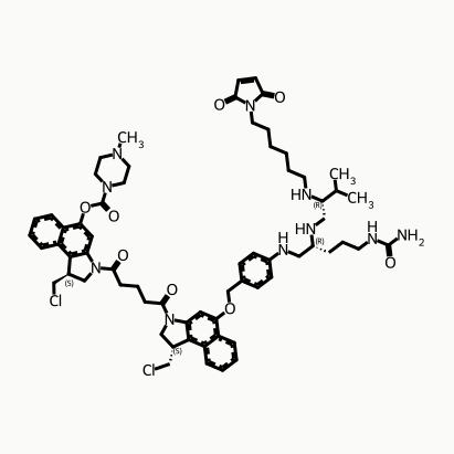 CC(C)[C@H](CN[C@H](CCCNC(N)=O)CNc1ccc(COc2cc3c(c4ccccc24)[C@H](CCl)CN3C(=O)CCCC(=O)N2C[C@@H](CCl)c3c2cc(OC(=O)N2CCN(C)CC2)c2ccccc32)cc1)NCCCCCCN1C(=O)C=CC1=O